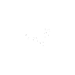 c1ccc(Cc2nnc(-c3cccc(Cc4ccc5[nH]ccc5c4)c3)[nH]2)cc1